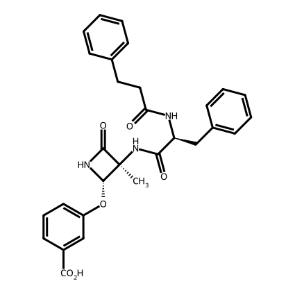 C[C@@]1(NC(=O)[C@H](Cc2ccccc2)NC(=O)CCc2ccccc2)C(=O)N[C@H]1Oc1cccc(C(=O)O)c1